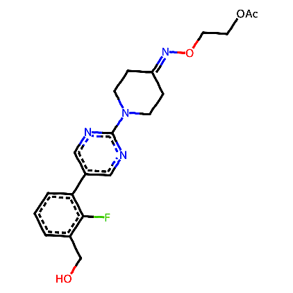 CC(=O)OCCON=C1CCN(c2ncc(-c3cccc(CO)c3F)cn2)CC1